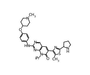 Cc1sc(C2CCCN2)nc1-c1cc2cnc(Nc3ccc(OC4CCN(C)CC4)cc3)nc2n(C(C)C)c1=O